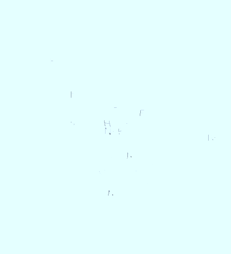 N#CC1(N(C(=O)[C@@H](N)CSCc2cccc(F)c2F)[C@@H](c2ccc(Br)cc2)C(F)(F)F)CC1